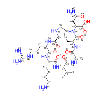 CC(C)[C@H](NC(=O)[C@H](CCCCN)NC(=O)[C@H](CCCNC(=N)N)NC(=O)[C@@H]1CCCN1)C(=O)N[C@@H](C)C(=O)N[C@@H](C)C(=O)N[C@@H](CC(N)=O)C(=O)O